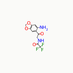 Nc1cc2c(cc1C(=O)CNC(=O)C(F)(F)F)OCO2